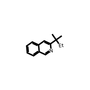 CCC(C)(C)c1cc2ccccc2cn1